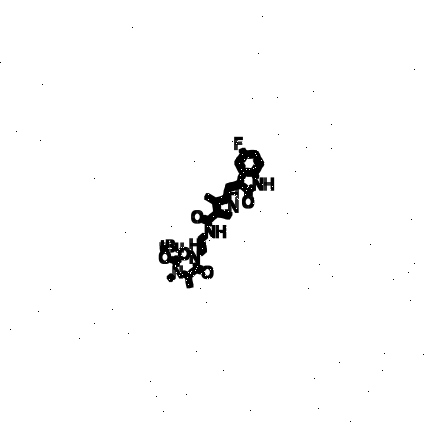 Cc1c(C(=O)NCCNC(=O)C(C)N(C)C(=O)OC(C)(C)C)c[nH]c1/C=C1\C(=O)Nc2ccc(F)cc21